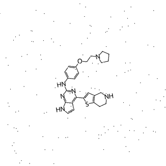 c1cc2c(-c3cc4c(s3)CCNC4)nc(Nc3ccc(OCCN4CCCC4)cc3)nc2[nH]1